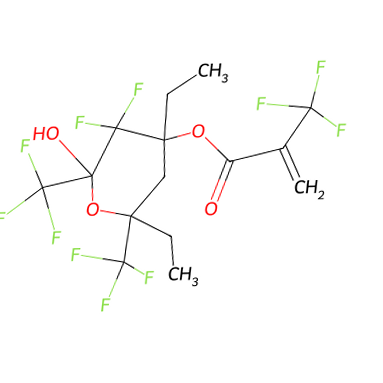 C=C(C(=O)OC1(CC)CC(CC)(C(F)(F)F)OC(O)(C(F)(F)F)C1(F)F)C(F)(F)F